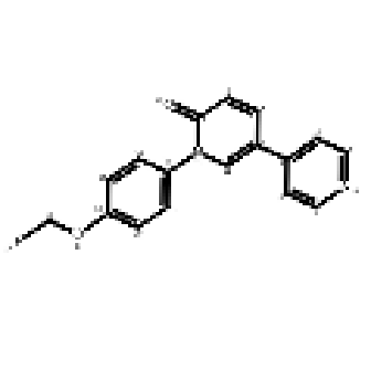 O=c1ccc(-c2ccncc2)cn1-c1ccc(OCF)cc1